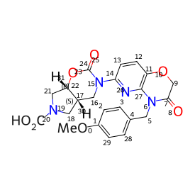 COc1ccc(CN2C(=O)COc3ccc(N4C[C@@H]5CN(C(=O)O)C[C@@H]5OC4=O)nc32)cc1